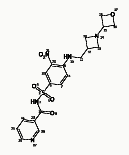 O=C(NS(=O)(=O)c1ccc(NCC2CN(C3COC3)C2)c([N+](=O)[O-])c1)c1cccnc1